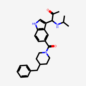 CC(=O)C(NC(C)C)c1c[nH]c2ccc(C(=O)N3CCC(Cc4ccccc4)CC3)cc12